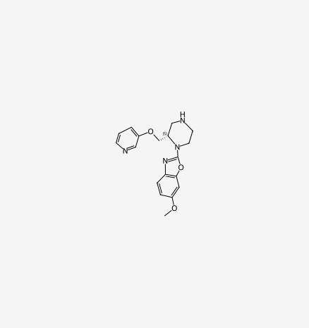 COc1ccc2nc(N3CCNC[C@H]3COc3cccnc3)oc2c1